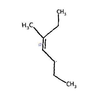 CC[CH]/C=C(/C)CC